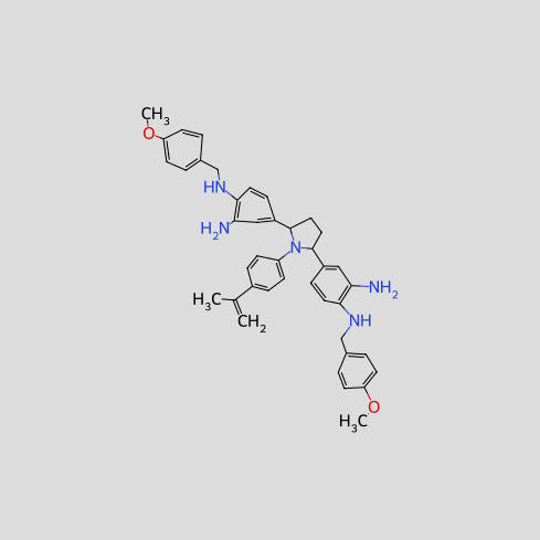 C=C(C)c1ccc(N2C(c3ccc(NCc4ccc(OC)cc4)c(N)c3)CCC2c2ccc(NCc3ccc(OC)cc3)c(N)c2)cc1